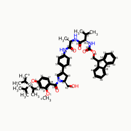 COc1cc(O[Si](C(C)C)(C(C)C)C(C)C)ccc1C(=O)N1C=C(c2ccc(NC(=O)[C@H](C)NC(=O)[C@@H](NC(=O)OCC3c4ccccc4-c4ccccc43)C(C)C)cc2)C[C@H]1CO